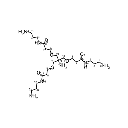 NCCCNC(=O)CCOCC(N)(COCCC(=O)NCCCN)COCCC(=O)NCCCN